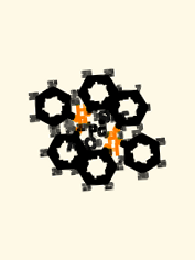 CC(=O)[O][Pd]([O]C(C)=O)([PH](c1ccccc1)(c1ccccc1)c1ccccc1)[PH](c1ccccc1)(c1ccccc1)c1ccccc1